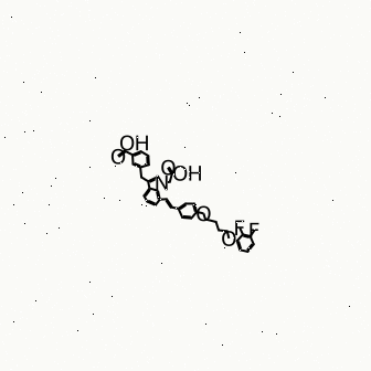 O=C(O)Cn1cc(Cc2cccc(C(=O)O)c2)c2cccc(/C=C/c3ccc(OCCCCOc4cccc(F)c4F)cc3)c21